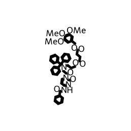 COc1cc(COC(=O)CCC(=O)OCC2CN(C(c3ccccc3)(c3ccccc3)c3ccccc3)CC(n3ccc(NC(=O)c4ccccc4)nc3=O)O2)cc(OC)c1OC